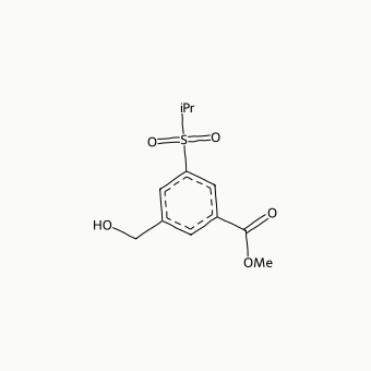 COC(=O)c1cc(CO)cc(S(=O)(=O)C(C)C)c1